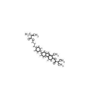 C=C(C)C(=O)OCCCc1ccc(-c2ccc3c(c2)sc2c(C)c(OC(=O)C(=C)C)ccc23)cc1